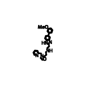 COc1cccc(-c2ccc3[nH]c(CCNCCC4OC=CN4Cc4ccccn4)nc3c2)c1